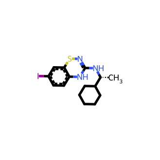 C[C@@H](NC1=NSc2cc(I)ccc2N1)C1CCCCC1